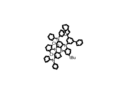 Cc1cccc(C)c1N1c2cc(N(c3ccccc3)c3ccccc3)ccc2B2c3cc(C(C)(C)C)ccc3N(c3cc(-c4ccccc4)cc(-c4cc5ccccc5o4)c3)c3cc(N(c4ccccc4)c4ccccc4)cc1c32